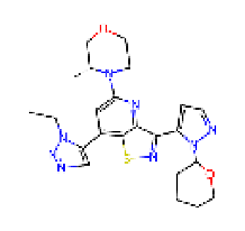 CCn1nncc1-c1cc(N2CCOC[C@H]2C)nc2c(-c3ccnn3C3CCCCO3)nsc12